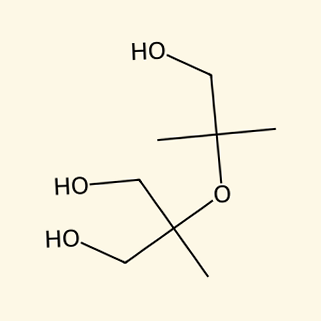 CC(C)(CO)OC(C)(CO)CO